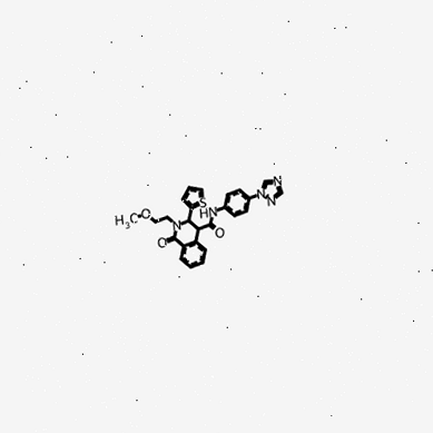 COCCN1C(=O)c2ccccc2C(C(=O)Nc2ccc(-n3cncn3)cc2)C1c1cccs1